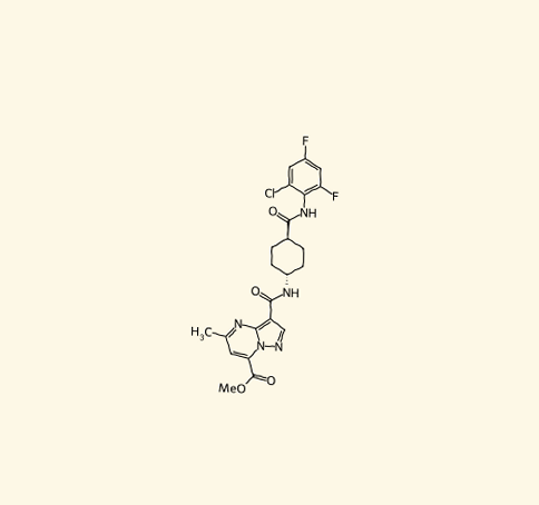 COC(=O)c1cc(C)nc2c(C(=O)N[C@H]3CC[C@H](C(=O)Nc4c(F)cc(F)cc4Cl)CC3)cnn12